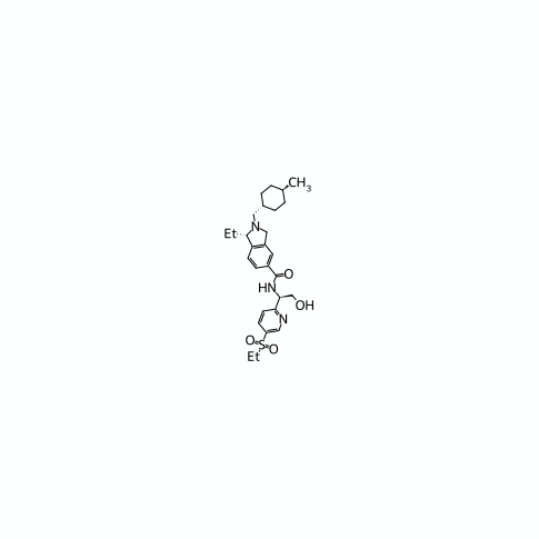 CC[C@H]1c2ccc(C(=O)N[C@@H](CO)c3ccc(S(=O)(=O)CC)cn3)cc2CN1C[C@H]1CC[C@H](C)CC1